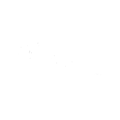 CCCCCC=CCCCCCCC=CC=CC(=O)N1CCCCC1